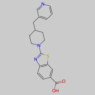 O=C(O)c1ccc2nc(N3CCC(Cc4cccnc4)CC3)sc2c1